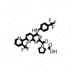 O=C(O)[C@@H]1CCCN1C(=O)c1nc(Nc2ccc(C(F)(F)F)cc2)c2ccc(-c3ncccc3C(F)(F)F)nc2n1